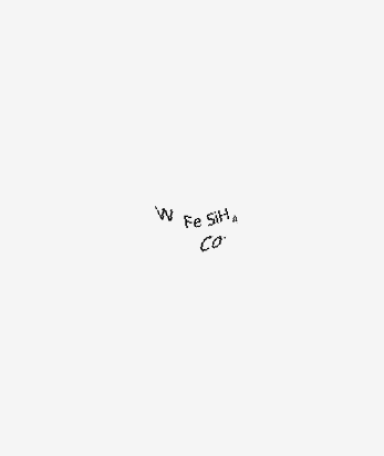 [Co].[Fe].[SiH4].[W]